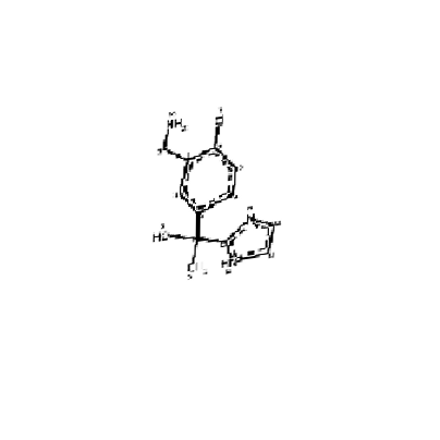 CC(O)(c1ccc(Cl)c(CN)c1)c1ncc[nH]1